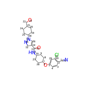 N#Cc1ccc(OC2CCC(NC(=O)c3cnn(C4CCC(C=O)CC4)c3)CC2)cc1Cl